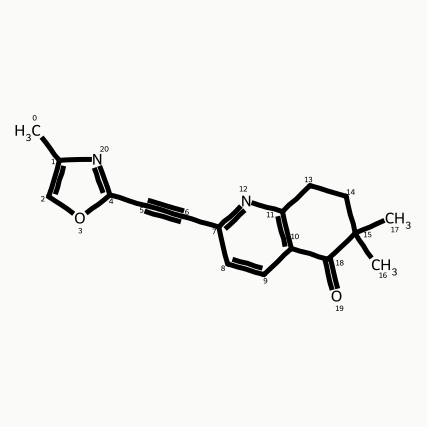 Cc1coc(C#Cc2ccc3c(n2)CCC(C)(C)C3=O)n1